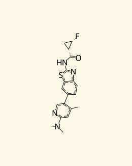 Cc1cc(N(C)C)ncc1-c1ccc2nc(NC(=O)[C@@H]3C[C@@H]3F)sc2c1